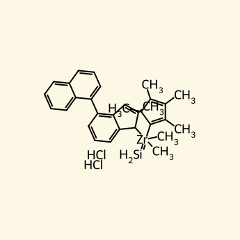 CC1=Cc2c(-c3cccc4ccccc34)cccc2[CH]1[Zr]([CH3])([CH3])(=[SiH2])[C]1=C(C)C(C)=C(C)C1C.Cl.Cl